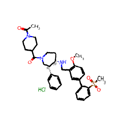 COc1ccc(-c2ccccc2S(C)(=O)=O)cc1CN[C@H]1CCN(C(=O)C2CCN(C(C)=O)CC2)C[C@H]1c1ccccc1.Cl